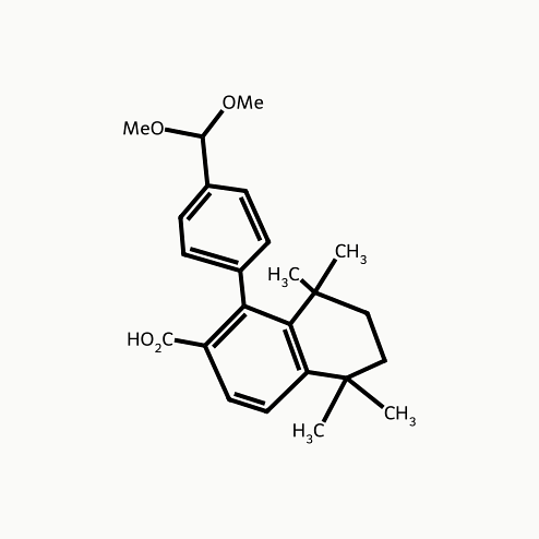 COC(OC)c1ccc(-c2c(C(=O)O)ccc3c2C(C)(C)CCC3(C)C)cc1